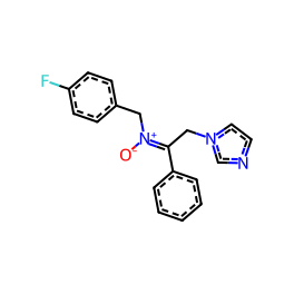 [O-][N+](Cc1ccc(F)cc1)=C(Cn1ccnc1)c1ccccc1